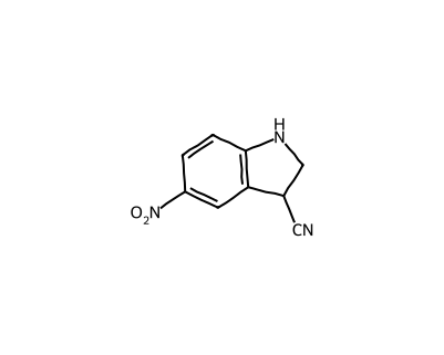 N#CC1CNc2ccc([N+](=O)[O-])cc21